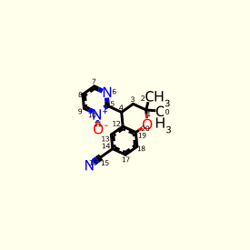 CC1(C)CC(c2nccc[n+]2[O-])c2cc(C#N)ccc2O1